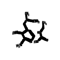 CCNC(=O)O.CN(C)C=C1C=CN=C(N)C1O